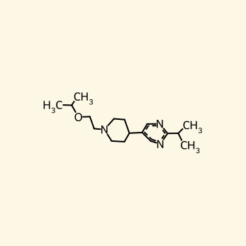 CC(C)OCCN1CCC(c2cnc(C(C)C)nc2)CC1